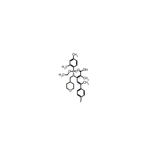 CCOP(=O)(c1ccc(C)cc1C)N(CC1CCOCC1)C(/C=C(\C)c1ccc(F)cc1)=C(/C)C(=O)O